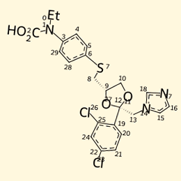 CCN(C(=O)O)c1ccc(SC[C@@H]2CO[C@@](Cn3ccnc3)(c3ccc(Cl)cc3Cl)O2)cc1